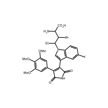 CCC(C(C(C)C)C(N)C(=O)O)n1cc(C2=C(c3cc(OC)c(OC)c(OC)c3)C(=O)NC2=O)c2cc(F)ccc21